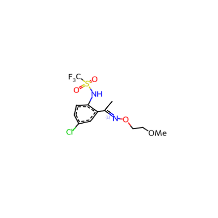 COCCO/N=C(\C)c1cc(Cl)ccc1NS(=O)(=O)C(F)(F)F